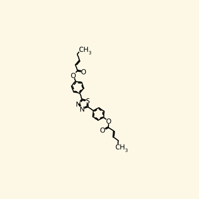 CC/C=C/C(=O)Oc1ccc(-c2nnc(-c3ccc(OC(=O)/C=C/CC)cc3)s2)cc1